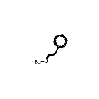 CCCCOC=Cc1ccccc1